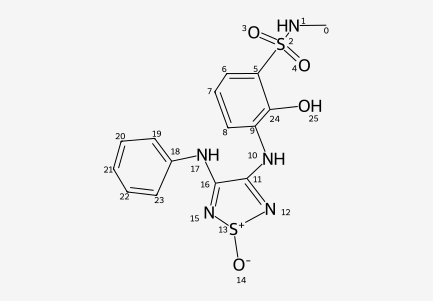 CNS(=O)(=O)c1cccc(Nc2n[s+]([O-])nc2Nc2ccccc2)c1O